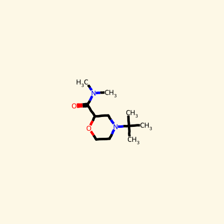 CN(C)C(=O)C1CN(C(C)(C)C)CCO1